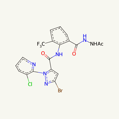 CC(=O)NNC(=O)c1cccc(C(F)(F)F)c1NC(=O)c1cc(Br)nn1-c1ncccc1Cl